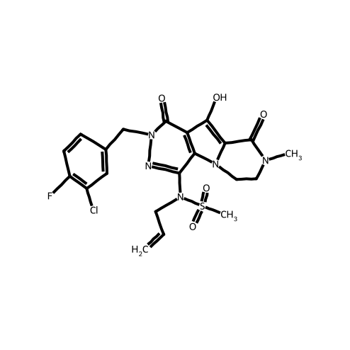 C=CCN(c1nn(Cc2ccc(F)c(Cl)c2)c(=O)c2c(O)c3n(c12)CCN(C)C3=O)S(C)(=O)=O